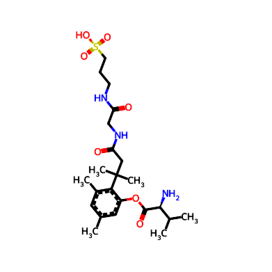 Cc1cc(C)c(C(C)(C)CC(=O)NCC(=O)NCCCS(=O)(=O)O)c(OC(=O)[C@@H](N)C(C)C)c1